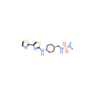 CN(C)S(=O)(=O)NC[C@H]1CC[C@H](Nc2nc(-c3nccs3)cs2)CC1